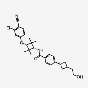 CC1(C)[C@H](NC(=O)c2ccc(N3CC(CCO)C3)cc2)C(C)(C)[C@H]1Oc1ccc(C#N)c(Cl)c1